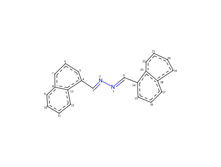 C(=N\N=C\c1cccc2ccccc12)/c1cccc2ccccc12